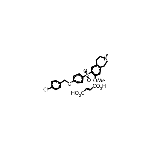 COc1cc2c(cc1S(=O)(=O)c1ccc(OCc3ccc(Cl)cc3)cc1)CCN(C)CC2.O=C(O)C=CC(=O)O